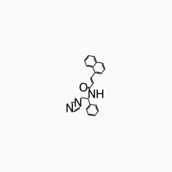 O=C(/C=C/c1cccc2ccccc12)NC(Cn1ccnc1)c1ccccc1